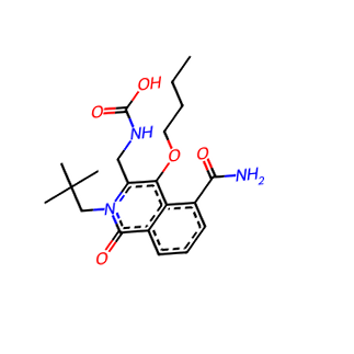 CCCCOc1c(CNC(=O)O)n(CC(C)(C)C)c(=O)c2cccc(C(N)=O)c12